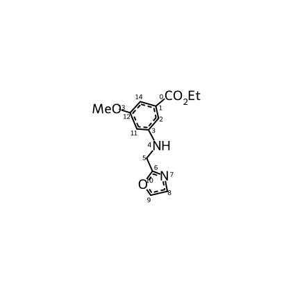 CCOC(=O)c1cc(NCc2ncco2)cc(OC)c1